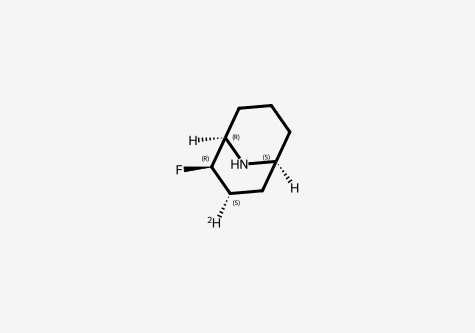 [2H][C@H]1C[C@@H]2CCC[C@@H](N2)[C@@H]1F